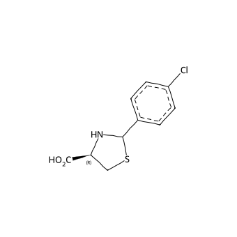 O=C(O)[C@@H]1CSC(c2ccc(Cl)cc2)N1